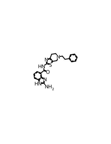 Nc1nc2c(C(=O)Nc3nc4c(s3)CN(CCc3ccccc3)CC4)cccc2[nH]1